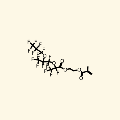 C=C(C)C(=O)OCCOC(=O)C(F)(OC(F)(F)C(F)(OC(F)(F)C(F)(F)C(F)(F)F)C(F)(F)F)C(F)(F)F